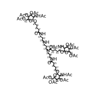 CC(=O)NC1C(OCCCCC(=O)NCCCNCCCN(CCCNC(=O)CCCCOC2OC(COC(C)=O)C(OC(C)=O)C(OC(C)=O)C2NC(C)=O)C(=O)CCCCOC2OC(COC(C)=O)C(OC(C)=O)C(OC(C)=O)C2NC(C)=O)OC(COC(C)=O)C(OC(C)=O)C1OC(C)=O